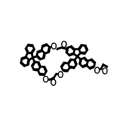 c1ccc2c(c1)-c1ccccc1C2(c1ccc2cc(OCC3OC3Oc3ccc4cc(C5(c6ccc7cc(OCC8CO8)ccc7c6)c6ccccc6-c6ccccc65)ccc4c3)ccc2c1)c1ccc2cc(OC3CCO3)ccc2c1